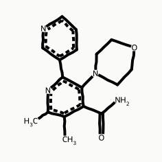 Cc1nc(-c2cccnc2)c(N2CCOCC2)c(C(N)=O)c1C